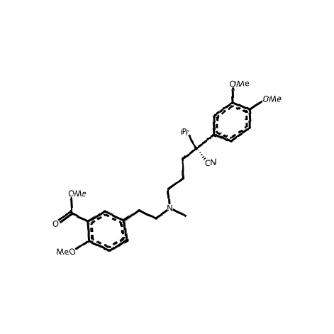 COC(=O)c1cc(CCN(C)CCC[C@](C#N)(c2ccc(OC)c(OC)c2)C(C)C)ccc1OC